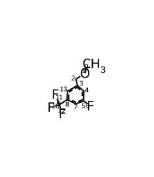 COCc1cc(F)cc(C(F)(F)F)c1